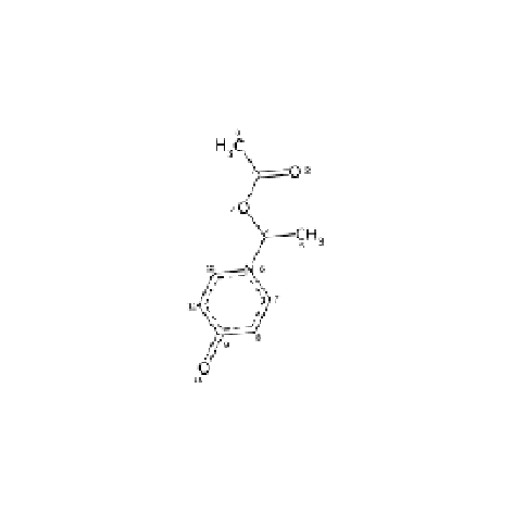 CC(=O)OC(C)n1ccc(=O)cc1